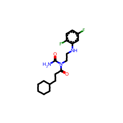 NC(=O)N(CCNc1cc(F)ccc1F)C(=O)[CH]CC1CCCCC1